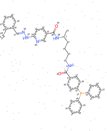 CC(CCCCNC(=O)c1ccc(P(c2ccccc2)c2ccccc2)cc1)NC(=O)c1ccc(NN=Cc2ccccc2S(=O)(=O)O)nc1